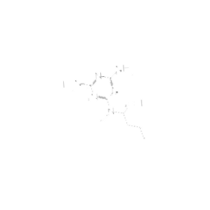 CCCC(O)N(C)c1nc(N)nc(N)n1